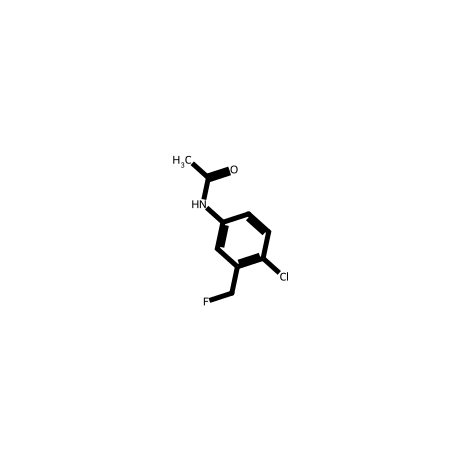 CC(=O)Nc1ccc(Cl)c(CF)c1